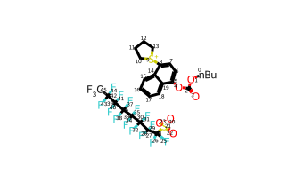 CCCCOC(=O)Oc1ccc([S+]2CCCC2)c2ccccc12.O=S(=O)([O-])C(F)(F)C(F)(F)C(F)(F)C(F)(F)C(F)(F)C(F)(F)C(F)(F)C(F)(F)F